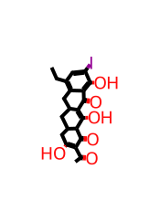 CCc1cc(I)c(O)c2c1CC1CC3CC(O)=C(C(C)=O)C(=O)C3C(O)=C1C2=O